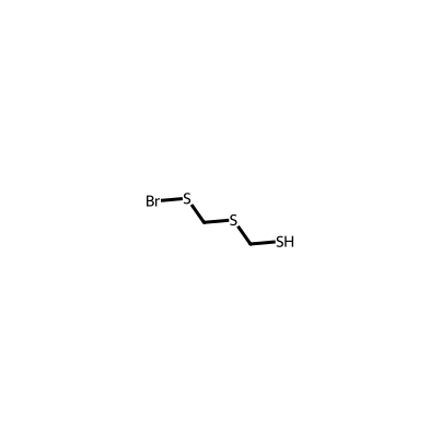 SCSCSBr